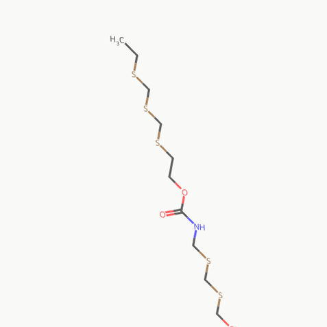 CCSCSCSCCOC(=O)NCSCSCO